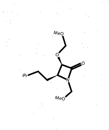 COCO[C@H]1C(=O)N(COC)[C@H]1CCC(C)C